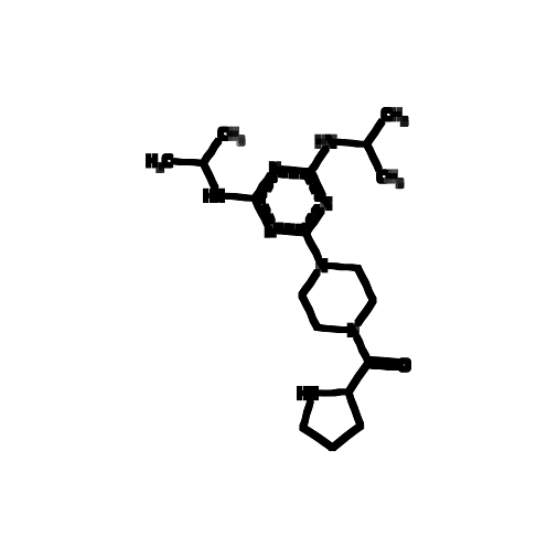 CC(C)Nc1nc(NC(C)C)nc(N2CCN(C(=O)C3CCCN3)CC2)n1